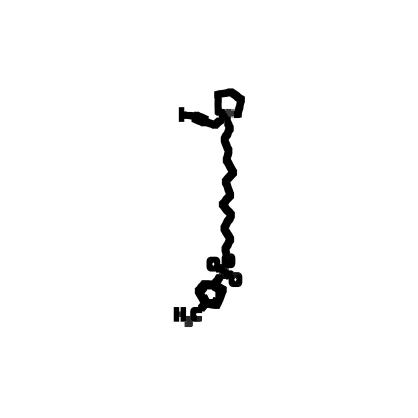 Cc1ccc(S(=O)(=O)OCCCCCCCCCCCC[N+]2(CC#CI)CCCCC2)cc1